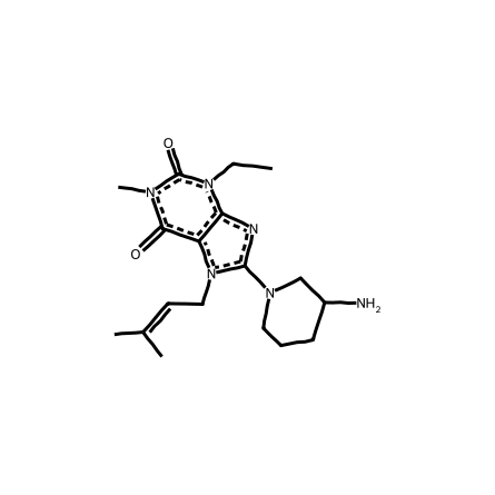 CCn1c(=O)n(C)c(=O)c2c1nc(N1CCCC(N)C1)n2CC=C(C)C